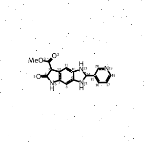 COC(=O)C1C(=O)Nc2cc3c(cc21)NC(c1cccnc1)N3